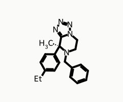 CCc1ccc([C@@]2(C)c3nnnn3CCN2Cc2ccccc2)cc1